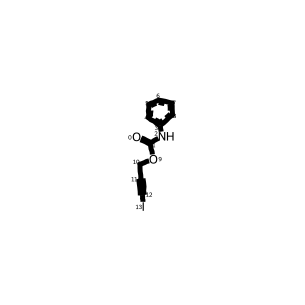 O=C(Nc1ccccc1)OCC#CI